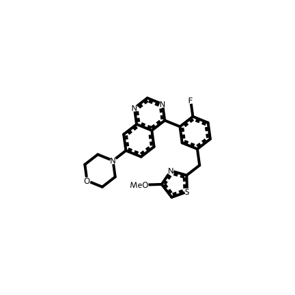 COc1csc(Cc2ccc(F)c(-c3ncnc4cc(N5CCOCC5)ccc34)c2)n1